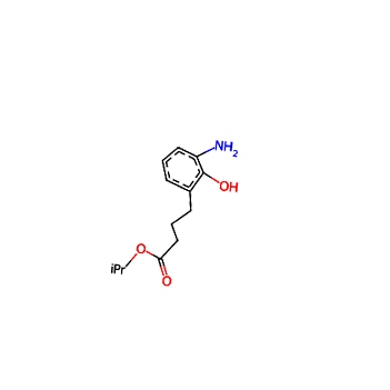 CC(C)OC(=O)CCCc1cccc(N)c1O